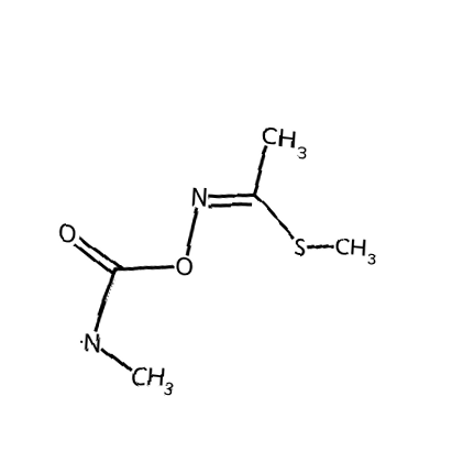 C[N]C(=O)ON=C(C)SC